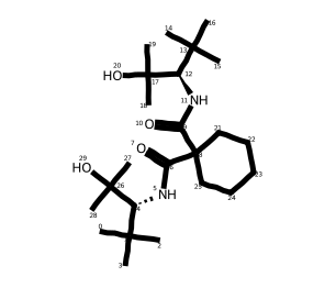 CC(C)(C)[C@@H](NC(=O)C1(C(=O)N[C@H](C(C)(C)C)C(C)(C)O)CCCCC1)C(C)(C)O